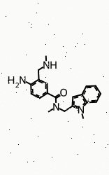 CNCc1cc(C(=O)N(C)Cc2cc3ccccc3n2C)ccc1N